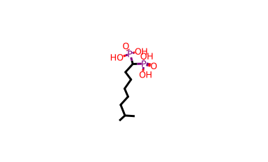 CC(C)CCCCCC(P(=O)(O)O)P(=O)(O)O